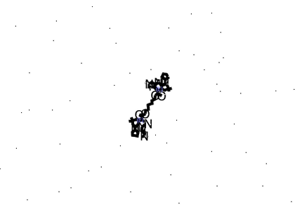 CN(C)CCN(C)C1=C(N2CCCC2)CC(C)(C)C/C1=C(/C#N)C(=O)OCCCCCCOC(=O)/C(C#N)=C1\CC(C)(C)CC(N2CCCC2)=C1N(C)CCN(C)C